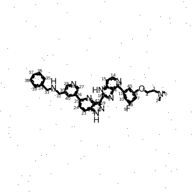 CN(C)CCOc1cc(F)cc(-c2nccc3[nH]c(-c4n[nH]c5ccc(-c6cncc(CNCc7ccccc7)c6)nc45)nc23)c1